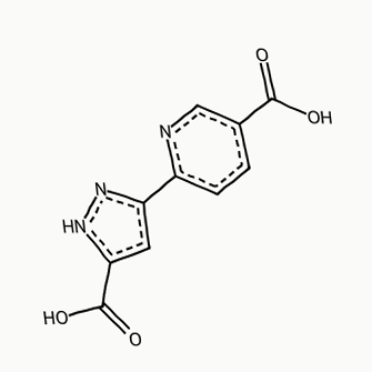 O=C(O)c1ccc(-c2cc(C(=O)O)[nH]n2)nc1